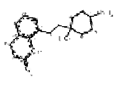 NC1CCC(O)(CCc2cccc3ccc(=O)oc23)CC1